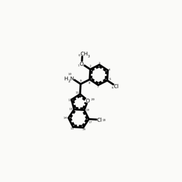 COc1ccc(Cl)cc1C(N)c1cc2cccc(Cl)c2o1